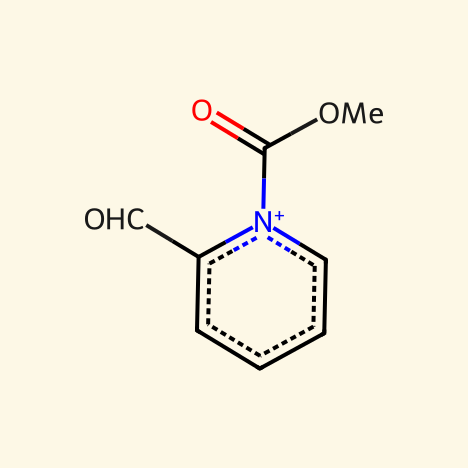 COC(=O)[n+]1ccccc1C=O